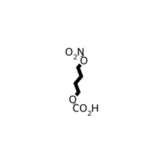 O=C(O)OCCCCO[N+](=O)[O-]